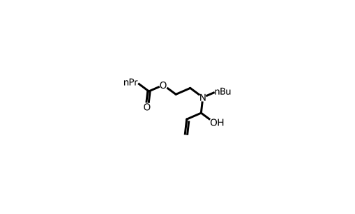 C=CC(O)N(CCCC)CCOC(=O)CCC